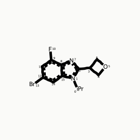 CC(C)n1c(C2COC2)nc2c(F)cc(Br)cc21